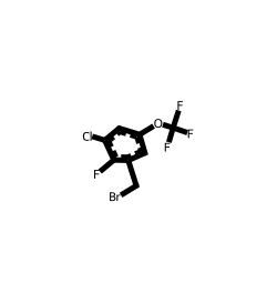 Fc1c(Cl)cc(OC(F)(F)F)cc1CBr